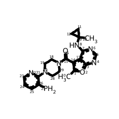 Cc1oc2ncnc(NC3(C)CC3)c2c1C(=O)N1CCN(c2ncccc2P)CC1